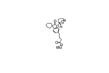 CC(C)(C)OC(=O)CCCc1ccc(C2(C(=O)O[C@H]3CN4CCC3CC4)CCCCC2)cc1